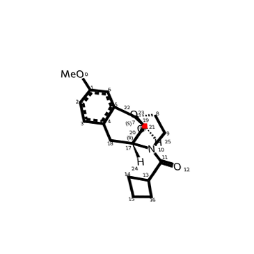 COc1ccc2c(c1)[C@]13CCN(C(=O)C4CCC4)[C@H](C2)[C@@H]1OCOC3